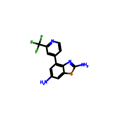 Nc1cc(-c2ccnc(C(F)(F)F)c2)c2nc(N)sc2c1